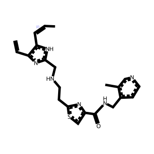 C=Cc1nc(CNCCc2nc(C(=O)NCc3ccncc3C)cs2)[nH]c1/C=C\C